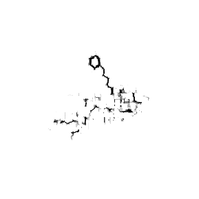 CCCN(CC(=O)N[C@@H](CC(C)C)C(=O)NCC(=O)N[C@@H](CO)C(=O)N[C@H](C(N)=O)[C@@H](C)OP(=O)(O)OCCCCCCc1ccccc1)C(=O)CCOC(C)C